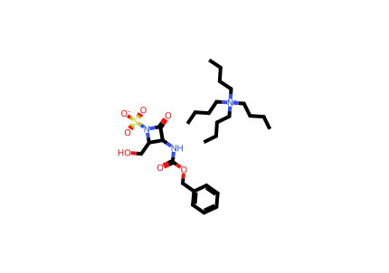 CCCC[N+](CCCC)(CCCC)CCCC.O=C(NC1C(=O)N(S(=O)(=O)[O-])C1CO)OCc1ccccc1